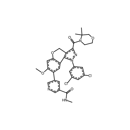 CNC(=O)c1cncc(-c2cc3c(cc2OC)OCc2c(C(=O)N4CCOCC4(C)C)nn(-c4cc(Cl)cc(Cl)c4)c2-3)c1